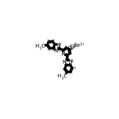 CC1=CC2=NC(c3cccc(C4=NC5C=CC(C)=CC5=N4)n3)=NC2C=C1.[Cl-].[Cl-].[Fe+2]